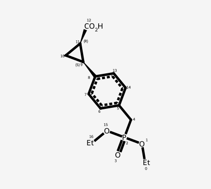 CCOP(=O)(Cc1ccc([C@H]2C[C@H]2C(=O)O)cc1)OCC